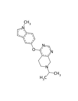 CC(C)N1CCc2c(ncnc2Oc2ccc3c(ccn3C)c2)C1